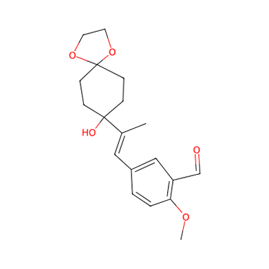 COc1ccc(/C=C(\C)C2(O)CCC3(CC2)OCCO3)cc1C=O